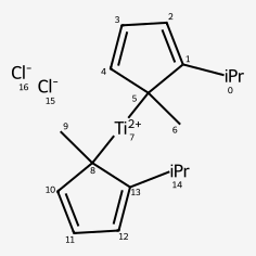 CC(C)C1=CC=C[C]1(C)[Ti+2][C]1(C)C=CC=C1C(C)C.[Cl-].[Cl-]